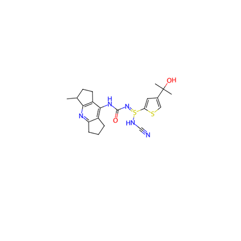 CC1CCc2c1nc1c(c2NC(=O)/N=S(\NC#N)c2cc(C(C)(C)O)cs2)CCC1